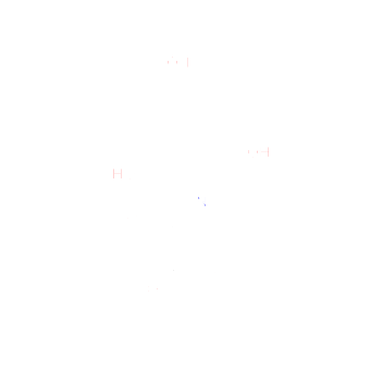 COC(=O)C(=O)Nc1c(O)cc(O)cc1O